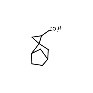 O=C(O)C1CC12CC1CCC2C1